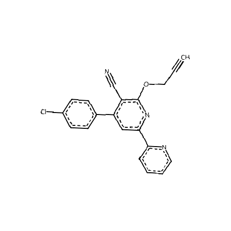 C#CCOc1nc(-c2ccccn2)cc(-c2ccc(Cl)cc2)c1C#N